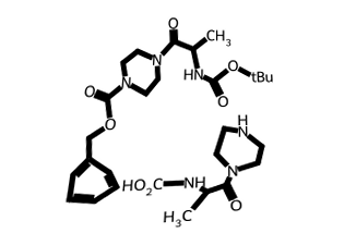 CC(NC(=O)O)C(=O)N1CCNCC1.CC(NC(=O)OC(C)(C)C)C(=O)N1CCN(C(=O)OCc2ccccc2)CC1